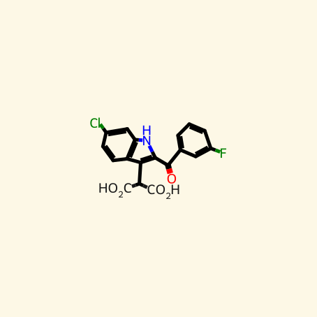 O=C(c1cccc(F)c1)c1[nH]c2cc(Cl)ccc2c1C(C(=O)O)C(=O)O